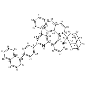 c1ccc(-c2nc(-c3ccc(-c4cccc5ccccc45)cc3)nc(-c3cccc4c3-c3c(ccc5ccccc35)C43C4CC5CC(C4)CC3C5)n2)cc1